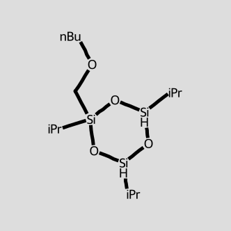 CCCCOC[Si]1(C(C)C)O[SiH](C(C)C)O[SiH](C(C)C)O1